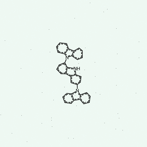 c1cc(-n2c3ccccc3c3ccccc32)c2[nH]c3ccc(-n4c5ccccc5c5ccccc54)cc3c2c1